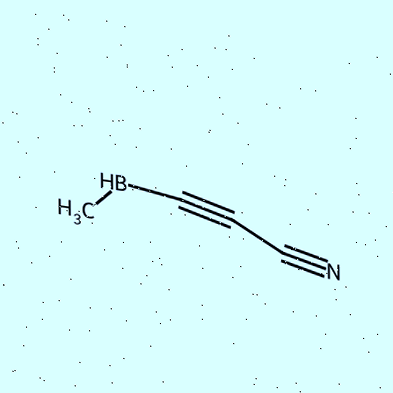 CBC#CC#N